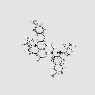 CCCC1CN(C(Cc2ccc(Cl)cc2)CN(CCF)C(=O)C(F)(F)F)CCN1C(=O)C(Cc1ccc(F)cc1)NC(=O)C(C)(C)N